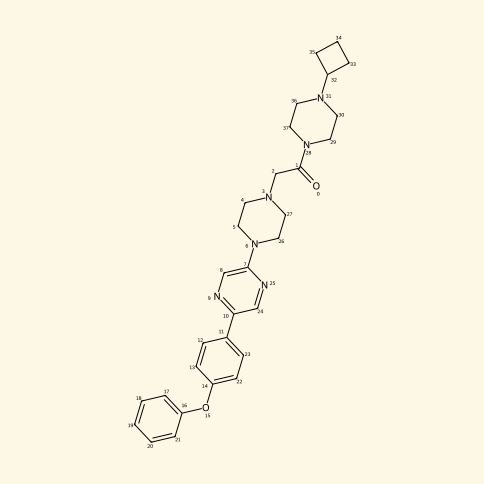 O=C(CN1CCN(c2cnc(-c3ccc(Oc4ccccc4)cc3)cn2)CC1)N1CCN(C2CCC2)CC1